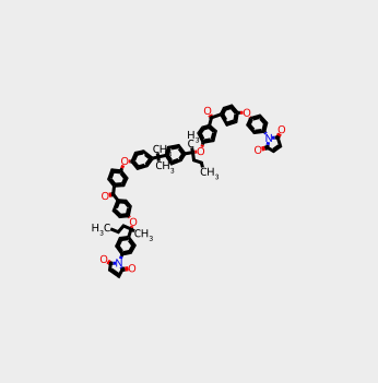 CCCC(C)(Oc1ccc(C(=O)c2ccc(Oc3ccc(C(C)(C)c4ccc(C(C)(CCC)Oc5ccc(C(=O)c6ccc(Oc7ccc(N8C(=O)C=CC8=O)cc7)cc6)cc5)cc4)cc3)cc2)cc1)c1ccc(N2C(=O)C=CC2=O)cc1